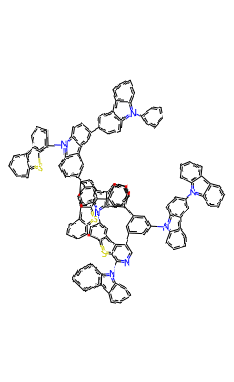 c1ccc(-n2c3ccccc3c3cc(-c4ccc5c(c4)c4cc(-c6cc(-c7cccc(-c8cc(-c9cnc(-n%10c%11ccccc%11c%11ccccc%11%10)c%10sc%11ccc(-n%12c%13ccccc%13c%13ccccc%13%12)cc%11c9%10)cc(-n9c%10ccccc%10c%10cc(-n%11c%12ccccc%12c%12ccccc%12%11)ccc%109)c8)c7)c7sc8ccccc8c7c6)ccc4n5-c4cccc5c4sc4ccccc45)ccc32)cc1